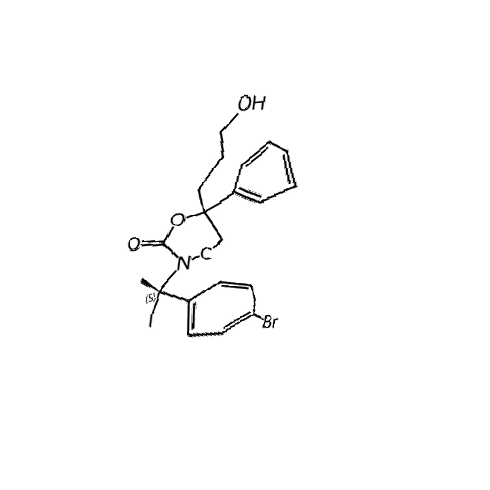 C[C@](I)(c1ccc(Br)cc1)N1CCC(CCCO)(c2ccccc2)OC1=O